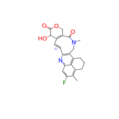 Cc1c(F)cc2nc3c(c4c2c1CCC4)CN(C)C(=O)C1=C(/C=C/3)C(O)C(=O)OC1